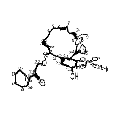 C[C@@H]1C/C=C/CC/C=C/C(=NOCC(=O)N2CCCCC2)Cc2cc(O)cc(OP(=O)(O)O)c2C(=O)O1